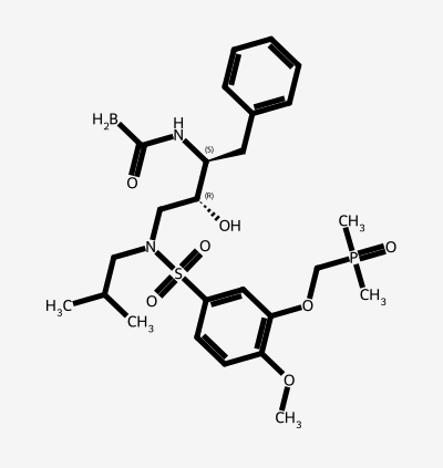 BC(=O)N[C@@H](Cc1ccccc1)[C@H](O)CN(CC(C)C)S(=O)(=O)c1ccc(OC)c(OCP(C)(C)=O)c1